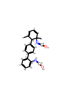 CC1=CC=CC(C)(N=C=O)C1c1ccc(-c2ccccc2N=C=O)cc1